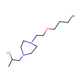 CC(C)CCCOCCN1CCN(CC(C)S)CC1